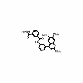 CCNC(=O)c1cccc(C(=O)Nc2cccc(-c3nc(NC)nc4cc(OC)c(OC)cc34)c2)c1